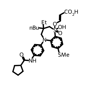 CCCCC1(CC)CN(c2ccc(NC(=O)C3CCCC3)cc2)c2cc(SC)ccc2S(=O)(O)(O/C=C/C(=O)O)C1